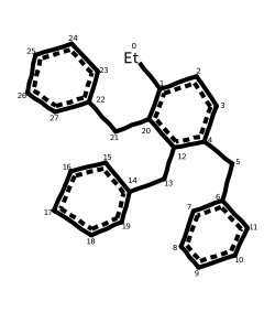 CCc1ccc(Cc2ccccc2)c(Cc2ccccc2)c1Cc1ccccc1